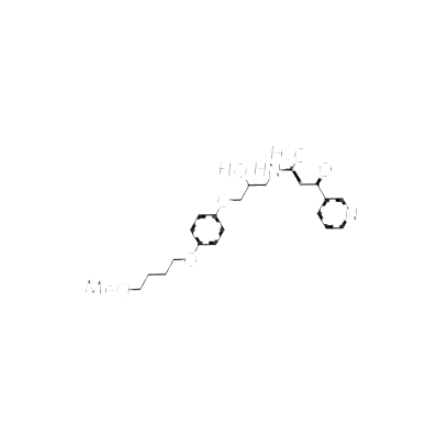 COCCCCOc1ccc(OCC(O)CNC(C)=CC(=O)c2cccnc2)cc1